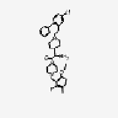 CCOc1ccc(C)c(F)c1CN1CCN(C(=O)[C@H](N)C2CCN(CCc3cc(Cl)ccc3-c3ccccc3)CC2)CC1